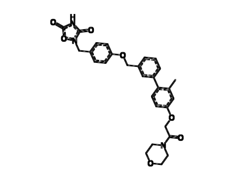 Cc1cc(OCC(=O)N2CCOCC2)ccc1-c1cccc(COc2ccc(Cn3oc(=O)[nH]c3=O)cc2)c1